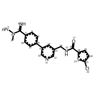 CCCN(C)C(=N)c1ccc(-c2cncc(CNC(=O)c3ccc(Cl)s3)c2)cc1